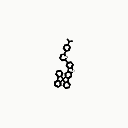 CC(C)c1ccc(-c2cccc(-c3ccc4oc5cc6c(cc5c4c3)C3(c4ccccc4-c4ccccc43)c3ccccc3-6)n2)cc1